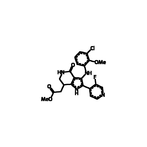 COC(=O)CC1CNC(=O)c2c1[nH]c(-c1ccncc1F)c2Nc1cccc(Cl)c1OC